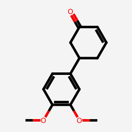 COc1ccc(C2CC=CC(=O)C2)cc1OC